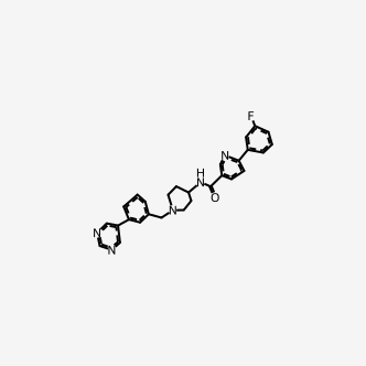 O=C(NC1CCN(Cc2cccc(-c3cncnc3)c2)CC1)c1ccc(-c2cccc(F)c2)nc1